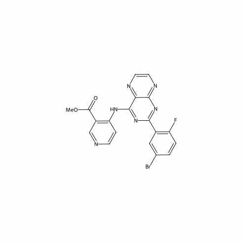 COC(=O)c1cnccc1Nc1nc(-c2cc(Br)ccc2F)nc2nccnc12